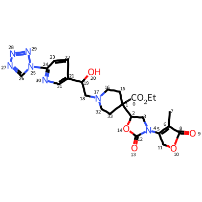 CCOC(=O)C1(C2CN(C3=C(C)C(=O)OC3)C(=O)O2)CCN(CC(O)c2ccc(-n3cnnn3)nc2)CC1